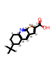 CC(C)(C)C1CCc2nc3sc(C(=O)O)cc3cc2C1